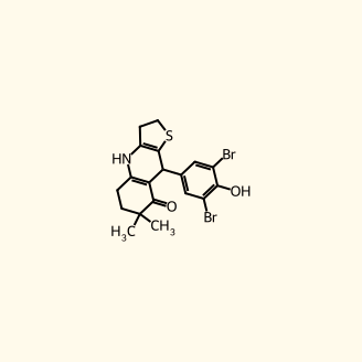 CC1(C)CCC2=C(C1=O)C(c1cc(Br)c(O)c(Br)c1)C1=C(CCS1)N2